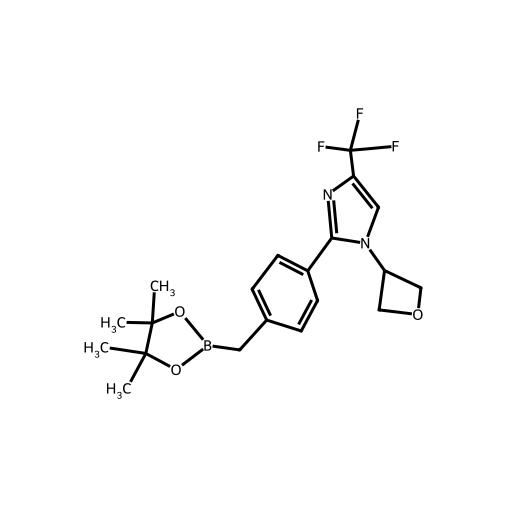 CC1(C)OB(Cc2ccc(-c3nc(C(F)(F)F)cn3C3COC3)cc2)OC1(C)C